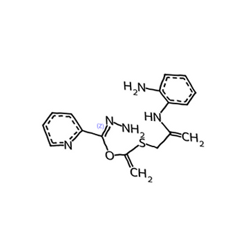 C=C(CSC(=C)O/C(=N\N)c1ccccn1)Nc1ccccc1N